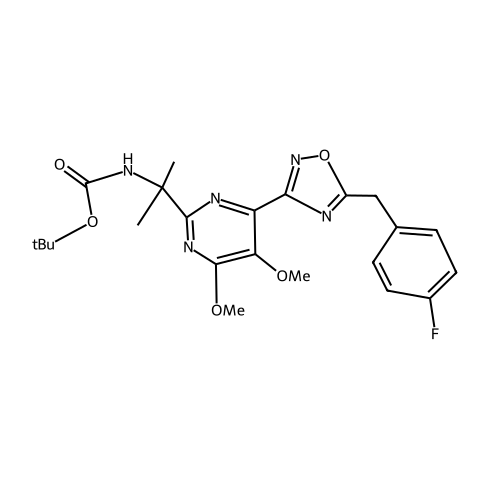 COc1nc(C(C)(C)NC(=O)OC(C)(C)C)nc(-c2noc(Cc3ccc(F)cc3)n2)c1OC